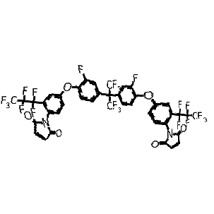 O=C1C=CC(=O)N1c1ccc(Oc2ccc(C(c3ccc(Oc4ccc(N5C(=O)C=CC5=O)c(C(F)(F)C(F)(F)C(F)(F)F)c4)c(F)c3)(C(F)(F)F)C(F)(F)F)cc2F)cc1C(F)(F)C(F)(F)C(F)(F)F